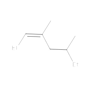 CCC=C(C)CC(C)CC